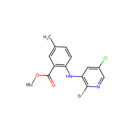 Cc1ccc(Nc2cc(Cl)cnc2Br)c(C(=O)OC(C)(C)C)c1